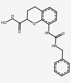 O=C(NCc1ccccc1)Nc1cccc2c1OC(C(=O)NO)CC2